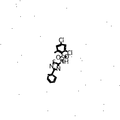 Cc1cc(Cl)cc(Cl)c1S(=O)(=O)Nc1nc(-c2ccccc2)ns1